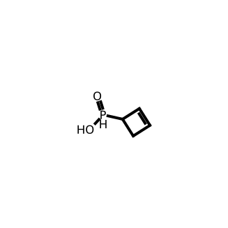 O=[PH](O)C1C=CC1